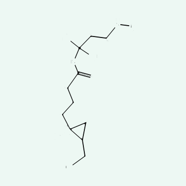 CC(C)CC1C[C@]1(C)CCCC(=O)NC(C)(C)CCNC(C)C